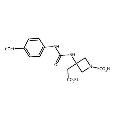 CCCCCCCCc1ccc(NC(=O)NC2(CC(=O)OCC)CN(C(=O)O)C2)cc1